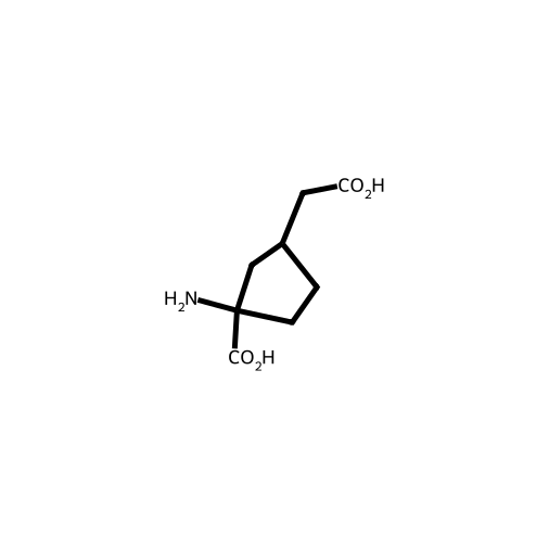 NC1(C(=O)O)CCC(CC(=O)O)C1